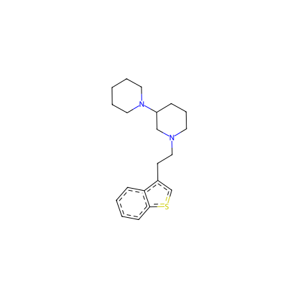 c1ccc2c(CCN3CCCC(N4CCCCC4)C3)csc2c1